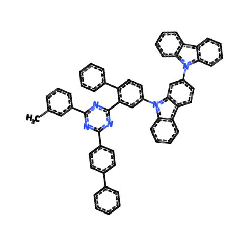 Cc1cccc(-c2nc(-c3ccc(-c4ccccc4)cc3)nc(-c3cc(-n4c5ccccc5c5ccc(-n6c7ccccc7c7ccccc76)cc54)ccc3-c3ccccc3)n2)c1